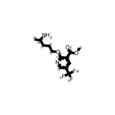 COC(=O)c1cc(C(F)(F)F)cnc1OCCCC(C)N